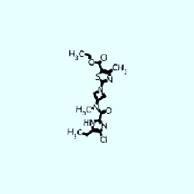 CCOC(=O)c1sc(N2CC(N(C)C(=O)c3nc(Cl)c(CC)[nH]3)C2)nc1C